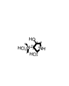 CN(C)[C@H]1CNC[C@@H]1O.Cl.Cl